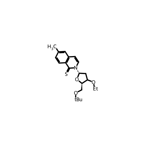 CCOC1C[C@@H](n2ccc3cc(C)ccc3c2=S)O[C@@H]1COC(C)(C)C